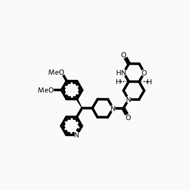 COc1ccc([C@H](c2cccnc2)C2CCN(C(=O)N3CC[C@@H]4OCC(=O)N[C@@H]4C3)CC2)cc1OC